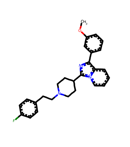 COc1cccc(-c2nc(C3CCN(CCc4ccc(F)cc4)CC3)n3ccccc23)c1